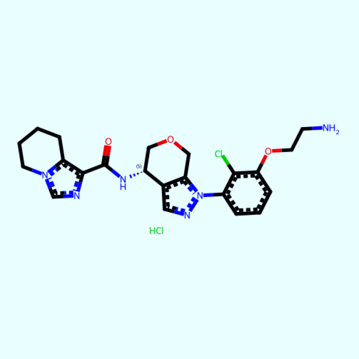 Cl.NCCOc1cccc(-n2ncc3c2COC[C@H]3NC(=O)c2ncn3c2CCCC3)c1Cl